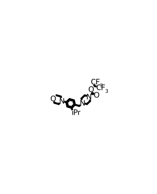 CC(C)c1cc(N2CCOCC2)ccc1CN1CCN(C(=O)OC(C(F)(F)F)C(F)(F)F)CC1